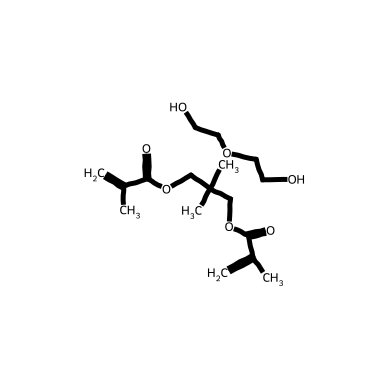 C=C(C)C(=O)OCC(C)(C)COC(=O)C(=C)C.OCCOCCO